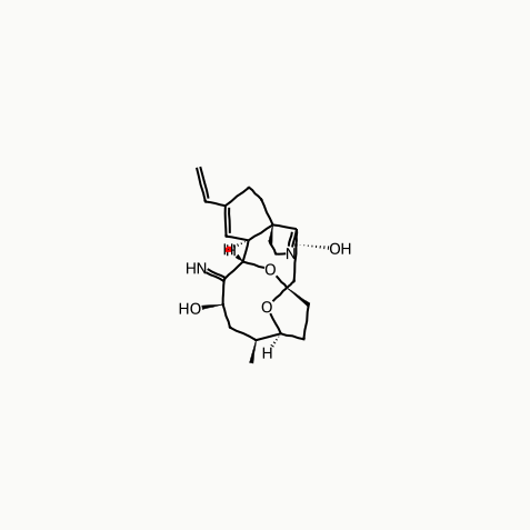 C=CC1=C[C@@H]2[C@@H]3O[C@]4(CC[C@H](O4)[C@@H](C)C[C@@H](O)C3=N)C[C@H](O)C3=NCC[C@@]32CC1